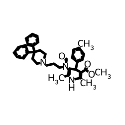 COC(=O)C1=C(C)NC(C)=C(N(C=O)CCCN2CCC(c3ccccc3)(c3ccccc3)CC2)C1c1ccc(C)cc1